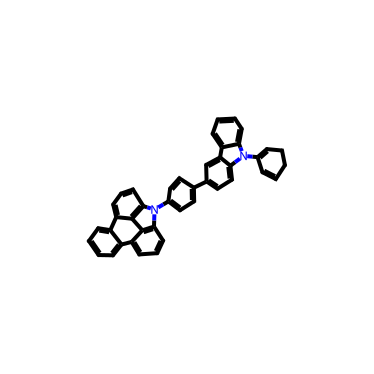 C1=CC(n2c3ccccc3c3cc(-c4ccc(-n5c6cccc7c8ccccc8c8cccc5c8c76)cc4)ccc32)=CCC1